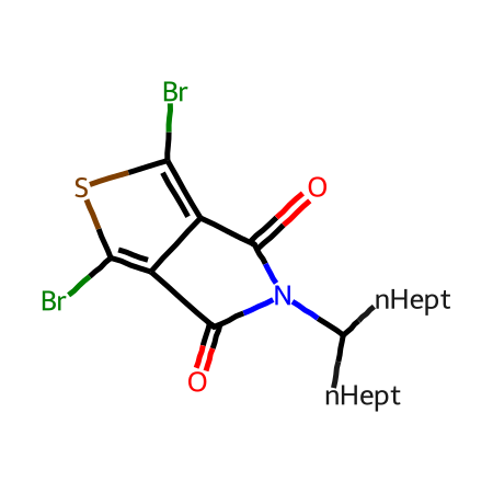 CCCCCCCC(CCCCCCC)N1C(=O)c2c(Br)sc(Br)c2C1=O